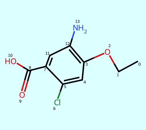 CCOc1cc(Cl)c(C(=O)O)cc1N